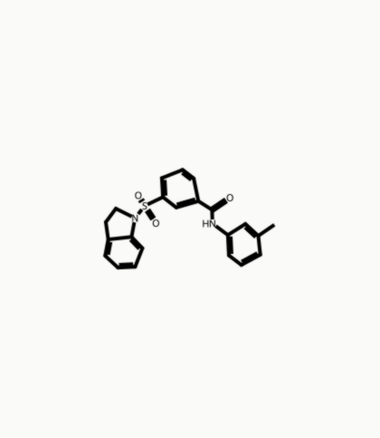 Cc1cccc(NC(=O)c2cccc(S(=O)(=O)N3CCc4ccccc43)c2)c1